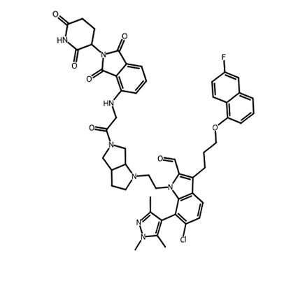 Cc1nn(C)c(C)c1-c1c(Cl)ccc2c(CCCOc3cccc4cc(F)ccc34)c(C=O)n(CCN3CCC4CN(C(=O)CNc5cccc6c5C(=O)N(C5CCC(=O)NC5=O)C6=O)CC43)c12